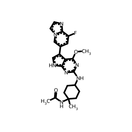 COc1nc(NC2CCC(C)(NC(C)=O)CC2)nc2[nH]cc(-c3cc(F)c4nccn4c3)c12